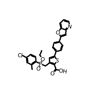 CCOP(=O)(Cc1cc(-c2ccc(-c3cc4ncccc4o3)cc2)sc1C(=O)O)c1ccc(Cl)cc1C